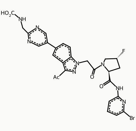 CC(=O)c1nn(CC(=O)N2C[C@H](F)C[C@H]2C(=O)Nc2cccc(Br)n2)c2ccc(-c3cnc(CNC(=O)O)nc3)cc12